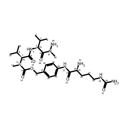 CC(C)[C@H](NC(=O)[C@H](C(C)C)N(C)C(=O)OCc1ccc(NC(=O)[C@@H](N)CCCNC(N)=O)cc1)C(=O)N(C)N